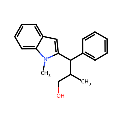 CC(CO)C(c1ccccc1)c1cc2ccccc2n1C